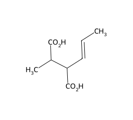 CC=CC(C(=O)O)C(C)C(=O)O